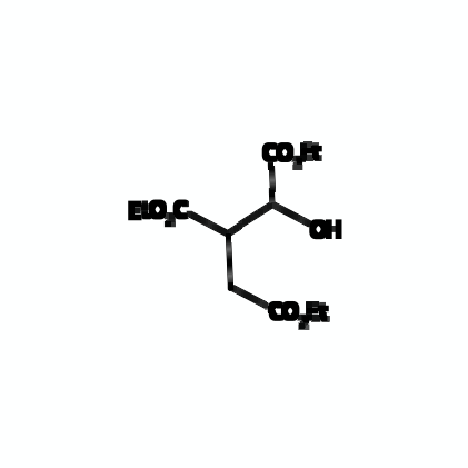 CCOC(=O)CC(C(=O)OCC)C(O)C(=O)OCC